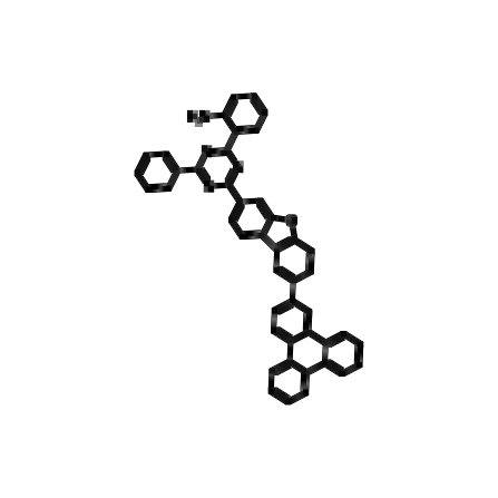 Nc1ccccc1-c1nc(-c2ccccc2)nc(-c2ccc3c(c2)oc2ccc(-c4ccc5c6ccccc6c6ccccc6c5c4)cc23)n1